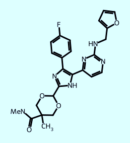 CNC(=O)C1(C)COC(c2nc(-c3ccc(F)cc3)c(-c3ccnc(NCc4ccco4)n3)[nH]2)OC1